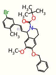 COc1cc2c(cc1OCc1ccccc1)CCN(C(=O)OC(C)(C)C)C2/C=C/c1cc(Br)ccc1C